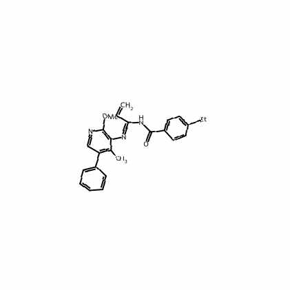 C=C/C(=N\c1c(OC)ncc(-c2ccccc2)c1C)NC(=O)c1ccc(CC)cc1